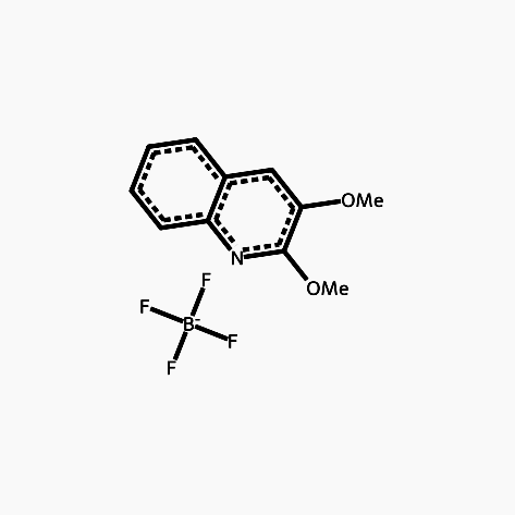 COc1cc2ccccc2nc1OC.F[B-](F)(F)F